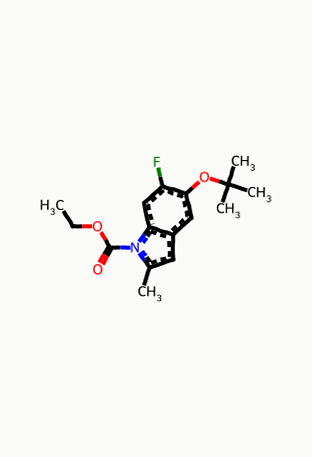 CCOC(=O)n1c(C)cc2cc(OC(C)(C)C)c(F)cc21